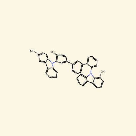 N#Cc1ccc2c(c1)c1ccccc1n2-c1cc(-c2cccc(-c3ccccc3-n3c4ccccc4c4cccc(C#N)c43)c2)ccc1C#N